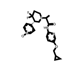 CC(C(=O)Nc1ccc(OCC2CC2)cn1)N1CCC(F)(F)[C@@H](c2cc[n+]([O-])cc2)C1